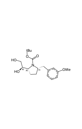 COc1cccc(C[C@@H]2CC[C@H]([C@@H](O)CO)N2C(=O)OC(C)(C)C)c1